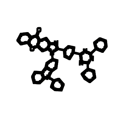 O=c1c2ccccc2oc2cc3c(cc12)nc(-c1ccc(-c2nc(-c4ccccc4)nc(-c4ccccc4)n2)cc1)n3-c1ccc2c(c1)c1ccccc1n2-c1ccccc1